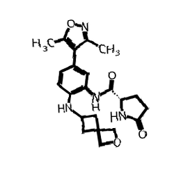 Cc1noc(C)c1-c1ccc(NC2CC3(COC3)C2)c(NC(=O)[C@@H]2CCC(=O)N2)c1